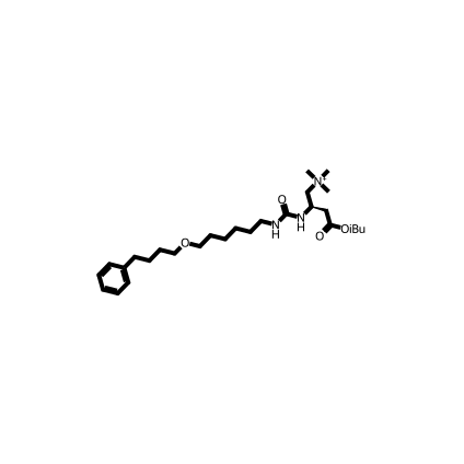 CC(C)COC(=O)C[C@H](C[N+](C)(C)C)NC(=O)NCCCCCCOCCCCc1ccccc1